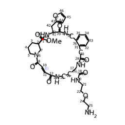 COCC12CCCN(C1)C(=O)/C=C/C(=O)NCC[C@@H](C(=O)NCCOCCN)NC(=O)Cc1ccccc1CNC(=O)[C@H](Cc1ccco1)NC2=O